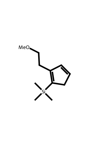 COCCC1=C([Si](C)(C)C)CC=C1